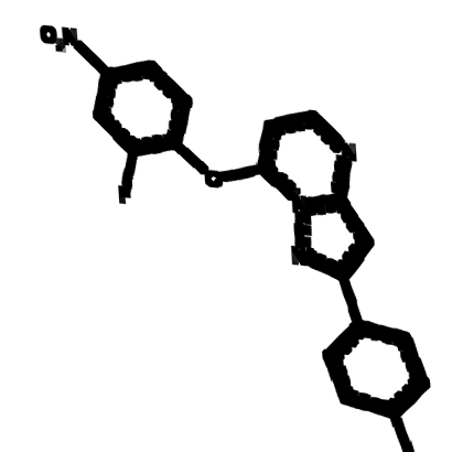 COc1ccc(-c2cc3nccc(Oc4ccc([N+](=O)[O-])cc4F)n3n2)cc1